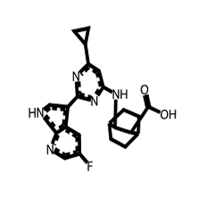 O=C(O)C1C2CCC(CC2)C1Nc1cc(C2CC2)nc(-c2c[nH]c3ncc(F)cc23)n1